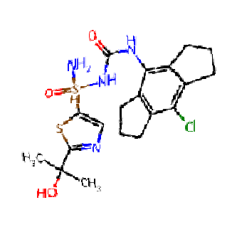 CC(C)(O)c1ncc([SH](N)(=O)NC(=O)Nc2c3c(c(Cl)c4c2CCC4)CCC3)s1